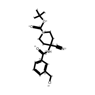 CC(C)(C)OC(=O)N1CCC(C#N)(NC(=O)c2cccc(CCl)c2)CC1